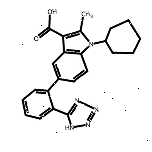 Cc1c(C(=O)O)c2cc(-c3ccccc3-c3nnn[nH]3)ccc2n1C1CCCCC1